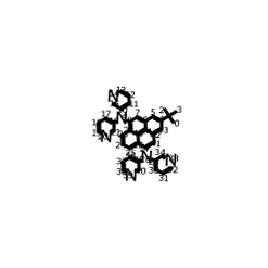 CC(C)(C)c1cc2cc(N(c3cccnc3)c3cccnc3)c3cccc4c(N(c5cccnc5)c5cccnc5)cc(c1)c2c34